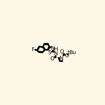 CC(C)(C)OC(=O)N1CC[C@@H]1C(=O)Nc1nc2ccc3cc(F)ccc3c2s1